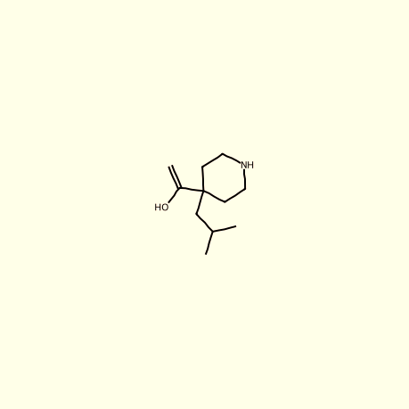 C=C(O)C1(CC(C)C)CCNCC1